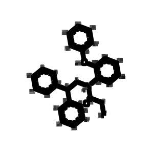 O=C(CF)N(CC(c1ccccc1)c1ccccc1)c1ccccc1Oc1ccccc1